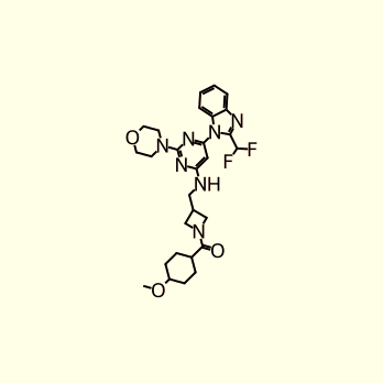 COC1CCC(C(=O)N2CC(CNc3cc(-n4c(C(F)F)nc5ccccc54)nc(N4CCOCC4)n3)C2)CC1